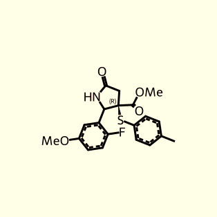 COC(=O)[C@@]1(Sc2ccc(C)cc2)CC(=O)NC1c1cc(OC)ccc1F